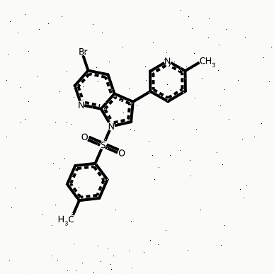 Cc1ccc(S(=O)(=O)n2cc(-c3ccc(C)nc3)c3cc(Br)cnc32)cc1